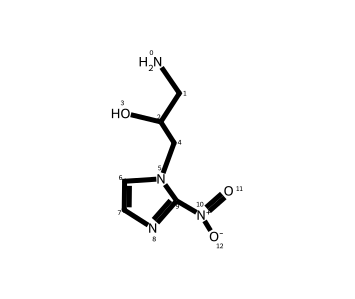 NCC(O)Cn1ccnc1[N+](=O)[O-]